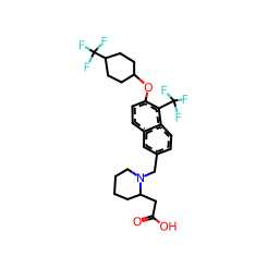 O=C(O)CC1CCCCN1Cc1ccc2c(C(F)(F)F)c(OC3CCC(C(F)(F)F)CC3)ccc2c1